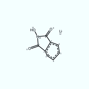 O=C1c2ccccc2C(=O)N1O.[Li]